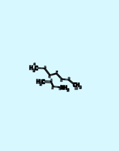 C=CCN.CCCCCCC